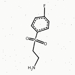 NCCS(=O)(=O)c1ccc(F)cc1